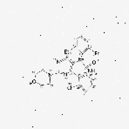 CCc1cccc(CC)c1N(C(N)=O)c1cnc(N2CCOCC2)nc1-c1ccccc1Cl